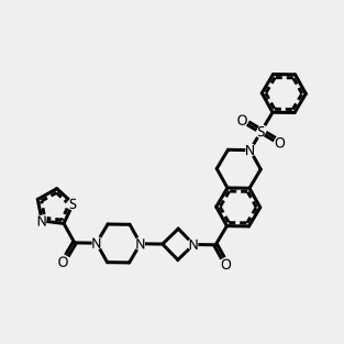 O=C(c1ccc2c(c1)CCN(S(=O)(=O)c1ccccc1)C2)N1CC(N2CCN(C(=O)c3nccs3)CC2)C1